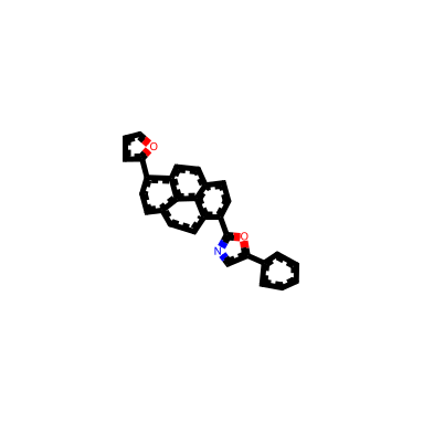 c1ccc(-c2cnc(-c3ccc4ccc5c(-c6ccco6)ccc6ccc3c4c65)o2)cc1